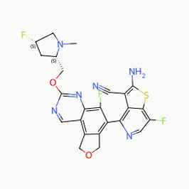 CN1C[C@@H](F)C[C@H]1COc1ncc2c3c(c(-c4ncc(F)c5sc(N)c(C#N)c45)c(F)c2n1)COC3